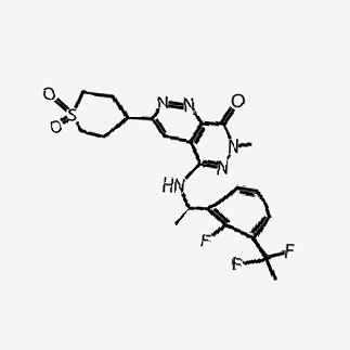 C[C@@H](Nc1nn(C)c(=O)c2nnc(C3CCS(=O)(=O)CC3)cc12)c1cccc(C(C)(F)F)c1F